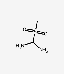 CS(=O)(=O)C(N)N